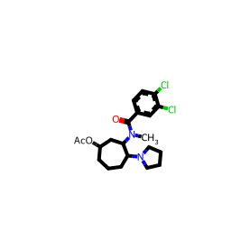 CC(=O)OC1CCCC(N2CCCC2)C(N(C)C(=O)c2ccc(Cl)c(Cl)c2)C1